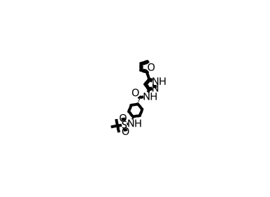 CC(C)(C)S(=O)(=O)N[C@H]1CC[C@H](C(=O)Nc2cc(-c3ccco3)[nH]n2)CC1